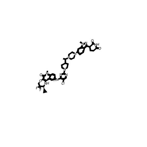 CC(C1CCN(c2ncc(Cl)c(Nc3ccc4c(c3)c3c(c(=O)n4C)OCC(F)(F)[C@H](C4CC4)N3)n2)CC1)N1CCN(c2ccc3c(C4CCC(=O)NC4=O)nn(C)c3c2)CC1